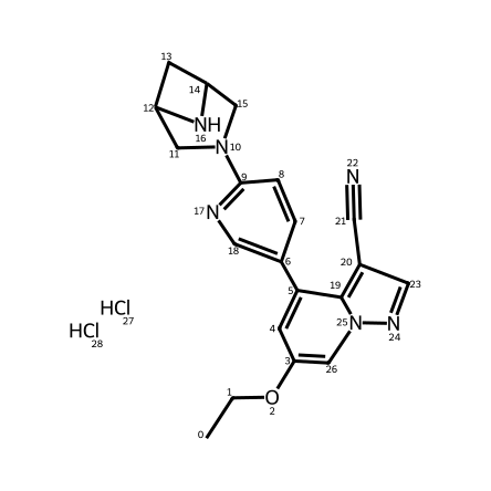 CCOc1cc(-c2ccc(N3CC4CC(C3)N4)nc2)c2c(C#N)cnn2c1.Cl.Cl